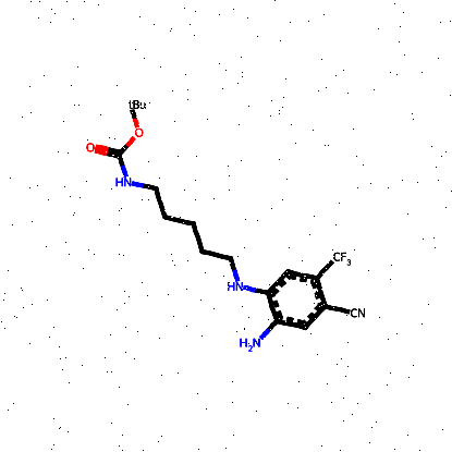 CC(C)(C)OC(=O)NCCCCCNc1cc(C(F)(F)F)c(C#N)cc1N